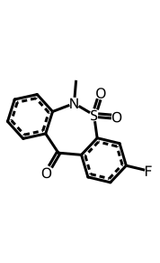 CN1c2ccccc2C(=O)c2ccc(F)cc2S1(=O)=O